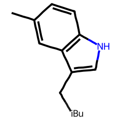 CCC(C)Cc1c[nH]c2ccc(C)cc12